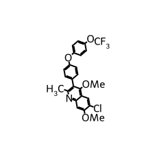 [CH2]Oc1c(-c2ccc(Oc3ccc(OC(F)(F)F)cc3)cc2)c(C)nc2cc(OC)c(Cl)cc12